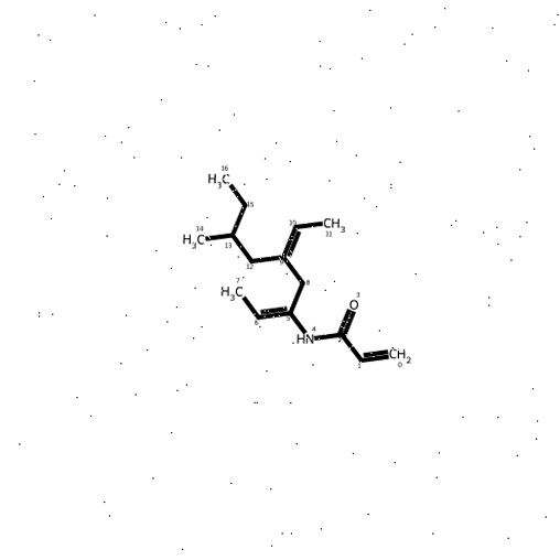 C=CC(=O)N/C(=C/C)C/C(=C\C)CC(C)CC